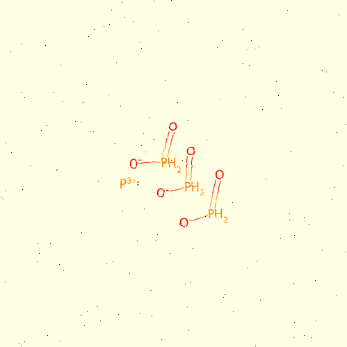 O=[PH2][O-].O=[PH2][O-].O=[PH2][O-].[P+3]